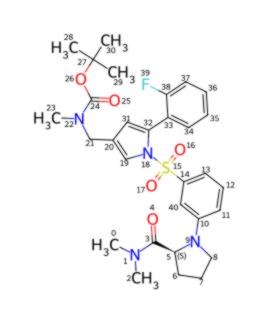 CN(C)C(=O)[C@@H]1CCCN1c1cccc(S(=O)(=O)n2cc(CN(C)C(=O)OC(C)(C)C)cc2-c2ccccc2F)c1